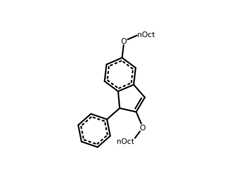 CCCCCCCCOC1=Cc2cc(OCCCCCCCC)ccc2C1c1ccccc1